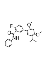 COc1cc(OC)c(C(C)C)cc1-c1ccc(F)c(C(=O)Nc2ccccc2)c1